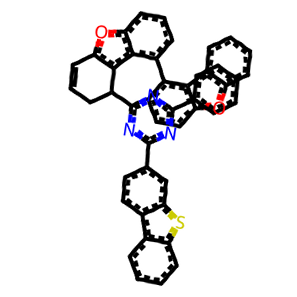 C1=Cc2oc3cccc(-c4cccc5oc6ccccc6c45)c3c2C(c2nc(-c3ccccc3)nc(-c3ccc4c(c3)sc3ccccc34)n2)C1